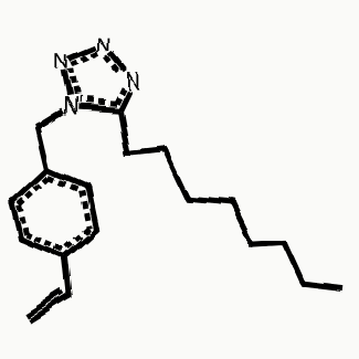 C=Cc1ccc(Cn2nnnc2CCCCCCCC)cc1